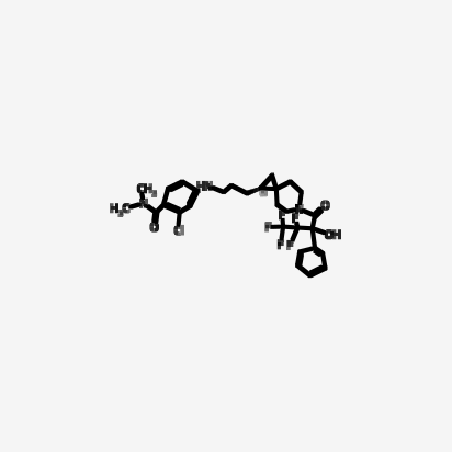 CN(C)C(=O)c1ccc(NCCC[C@H]2CC23CCN(C(=O)C(O)(c2ccccc2)C(F)(F)C(F)(F)F)CC3)cc1Cl